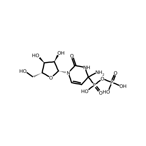 NC1(P(=O)(O)OP(=O)(O)O)C=CN([C@@H]2O[C@H](CO)[C@@H](O)[C@H]2O)C(=O)N1